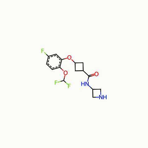 O=C(NC1CNC1)C1CC(Oc2cc(F)ccc2OC(F)F)C1